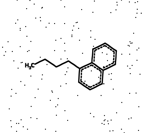 CCCCc1cc[c]c2ccccc12